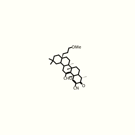 COCCC[C@]12CCC(C)(C)CC1C1CC(C=O)=C3[C@@]4(C)C=C(C#N)C(=O)[C@@H](C)C4CC[C@@]3(C)[C@]1(C)CC2